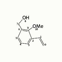 C=Cc1cccc([CH]O)c1OC